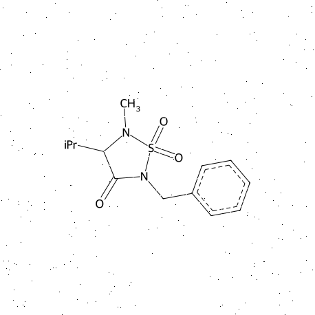 CC(C)C1C(=O)N(Cc2ccccc2)S(=O)(=O)N1C